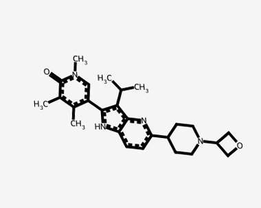 Cc1c(-c2[nH]c3ccc(C4CCN(C5COC5)CC4)nc3c2C(C)C)cn(C)c(=O)c1C